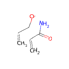 C=CC(N)=O.C=CC[O]